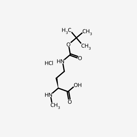 CN[C@@H](CCNC(=O)OC(C)(C)C)C(=O)O.Cl